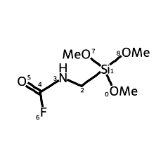 CO[Si](CNC(=O)F)(OC)OC